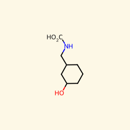 O=C(O)NCC1CCCC(O)C1